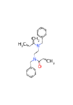 C=CC(=C)N(CCN(Cc1ccccc1)C(=O)C=C)Cc1ccccc1